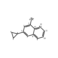 Brc1cc(C2CC2)cc2cccnc12